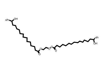 CCCC(O)CCCCCCCCCCCCCC(=O)OCCOOC(=O)CCCCCCCCCCCCCC(O)CCC